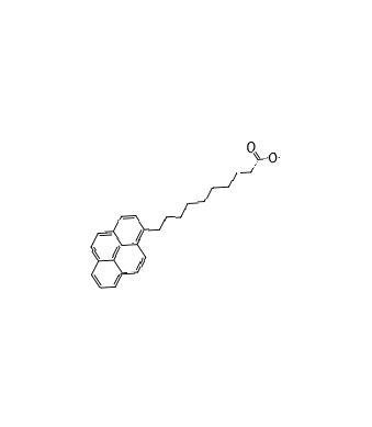 [O]C(=O)CCCCCCCCCc1ccc2ccc3cccc4ccc1c2c34